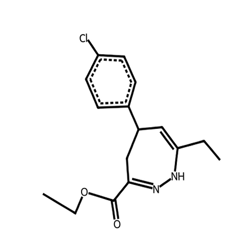 CCOC(=O)C1=NNC(CC)=CC(c2ccc(Cl)cc2)C1